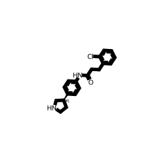 O=C(CCc1ccccc1Cl)Nc1ccc([C@H]2CCNC2)cc1